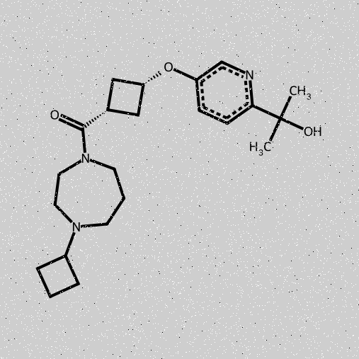 CC(C)(O)c1ccc(O[C@H]2C[C@@H](C(=O)N3CCCN(C4CCC4)CC3)C2)cn1